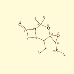 CCC1C2CC(=O)N2C(C)(C)OC12OC2SC